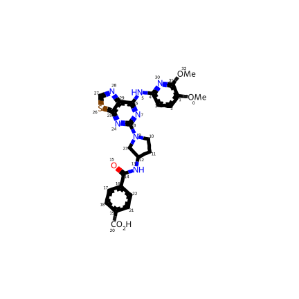 COc1ccc(Nc2nc(N3CCC(NC(=O)c4ccc(C(=O)O)cc4)C3)nc3scnc23)nc1OC